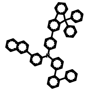 c1ccc(-c2ccccc2-c2cccc(N(c3ccc(-c4ccc5c(c4)C(c4ccccc4)(c4ccccc4)c4ccccc4-5)cc3)c3cccc(-c4ccc5ccccc5c4)c3)c2)cc1